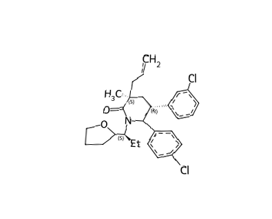 C=CC[C@@]1(C)C[C@H](c2cccc(Cl)c2)C(c2ccc(Cl)cc2)N([C@@H](CC)C2CCCO2)C1=O